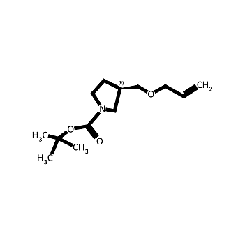 C=CCOC[C@@H]1CCN(C(=O)OC(C)(C)C)C1